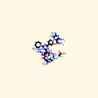 O=C(O)C(F)(F)F.[CH2]NNNCN1CNNNCNC2=NC(N)=C(C1=O)N(N1CCC(c3nc(C4CCN(N5C(C(N)=O)=C(N)N=C(N)C5Cl)CC4)nc(N4CCCCCC4)n3)CC1)C2Cl